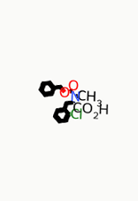 CN(C(=O)OCc1ccccc1)C(Cc1ccccc1Cl)C(=O)O